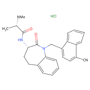 CN[C@@H](C)C(=O)N[C@H]1CCc2ccccc2N(Cc2ccc(C#N)c3ccccc23)C1=O.Cl